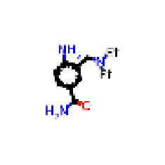 CCN(CC)Cc1cc(C(N)=O)ccc1N